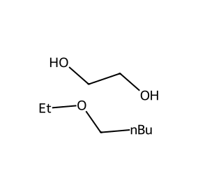 CCCCCOCC.OCCO